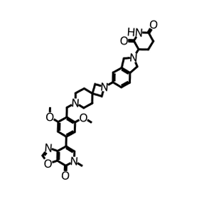 COc1cc(-c2cn(C)c(=O)c3ocnc23)cc(OC)c1CN1CCC2(CC1)CN(c1ccc3c(c1)CN(C1CCC(=O)NC1=O)C3)C2